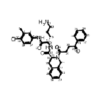 Cc1cc(NC(=O)[C@H](CCCN)NC(=O)[C@@H]2Cc3ccccc3CN2C(=O)CCC(=O)c2ccccc2)ccc1Cl